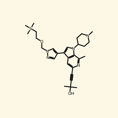 Cc1nc(C#CC(C)(C)O)cc2c(-c3cnn(COCC[Si](C)(C)C)c3)cn(C3CCN(C)CC3)c12